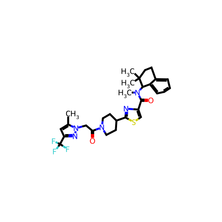 Cc1cc(C(F)(F)F)nn1CC(=O)N1CCC(c2nc(C(=O)N(C)C3c4ccccc4CCC3(C)C)cs2)CC1